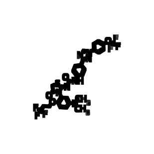 CN(C)c1ccc(OCCC(F)(F)F)c(N2C(=O)CS/C2=N\C(=O)Nc2ccc(-c3ncn(-c4ccc(OC(F)(F)F)cc4)n3)cc2)c1